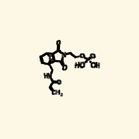 C=CC(=O)NCC12C=CC(O1)C1C(=O)N(CCOP(=O)(O)O)C(=O)C12